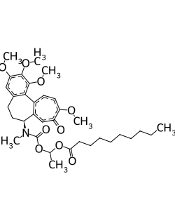 CCCCCCCCCC(=O)OC(C)OC(=O)N(C)[C@H]1CCc2cc(OC)c(OC)c(OC)c2-c2ccc(OC)c(=O)cc21